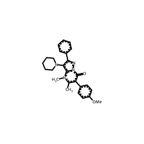 COc1ccc(-c2c(C)n(C)c3c(N4CCCCC4)c(-c4ccccc4)nn3c2=O)cc1